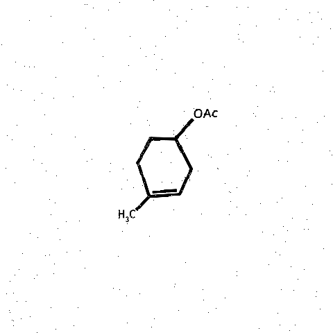 CC(=O)OC1CC=C(C)CC1